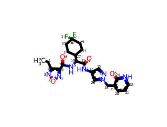 CCc1nonc1C(=O)NC(C(=O)Nc1cnn(Cc2ccc[nH]c2=O)c1)C1CCC(F)(F)CC1